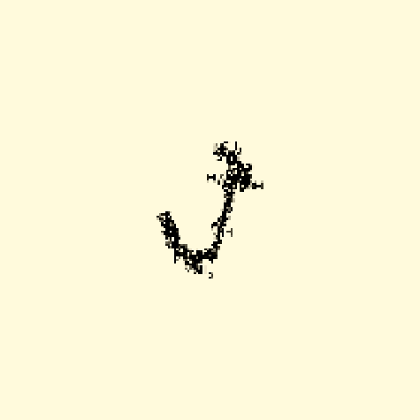 Cc1ncsc1-c1ccc(CNC(=O)C2C[C@@H](O)CN2C(=O)[C@@H](NC(=O)COCCOCCOCC(=O)NCCCCn2cnc(-c3cnc(O[C@@H]4CCN(C(=O)Cc5ccc(OC(F)(F)F)cc5)C[C@H]4F)c(C(N)=O)c3)c2)C(C)(C)C)cc1